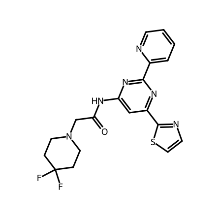 O=C(CN1CCC(F)(F)CC1)Nc1cc(-c2nccs2)nc(-c2ccccn2)n1